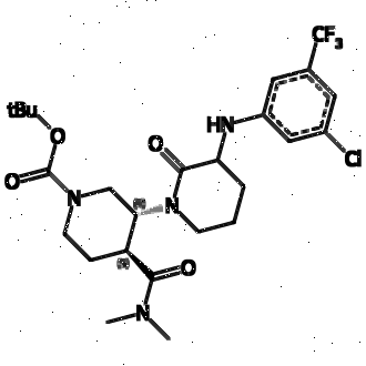 CN(C)C(=O)[C@H]1CCN(C(=O)OC(C)(C)C)C[C@@H]1N1CCCC(Nc2cc(Cl)cc(C(F)(F)F)c2)C1=O